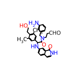 Cc1cc(C(Nc2ccc3cc[nH]c(=O)c3c2)C(=O)N(CCC=O)Cc2cccc(N)c2)cc(C)c1CCO